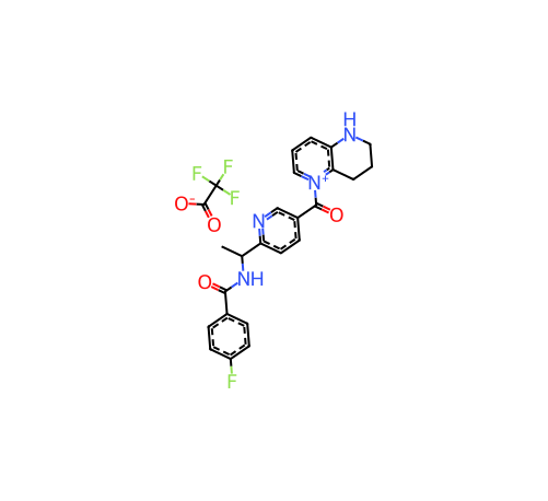 CC(NC(=O)c1ccc(F)cc1)c1ccc(C(=O)[n+]2cccc3c2CCCN3)cn1.O=C([O-])C(F)(F)F